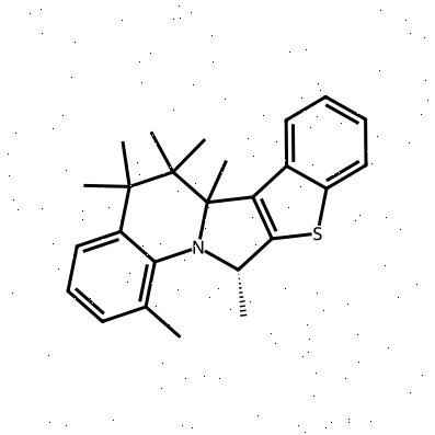 Cc1cccc2c1N1[C@@H](C)c3sc4ccccc4c3C1(C)C(C)(C)C2(C)C